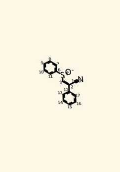 N#C/C(=C\[S+]([O-])c1ccccc1)c1ccccc1